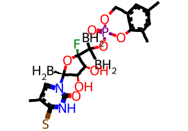 BC(B)(OP1(=O)OCc2cc(C)cc(C)c2O1)[C@@]1(F)O[C@@](B)(n2cc(C)c(=S)[nH]c2=O)[C@H](O)[C@@H]1O